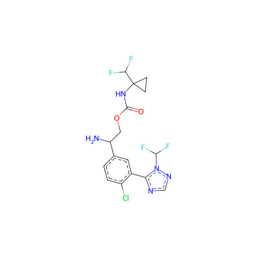 NC(COC(=O)NC1(C(F)F)CC1)c1ccc(Cl)c(-c2ncnn2C(F)F)c1